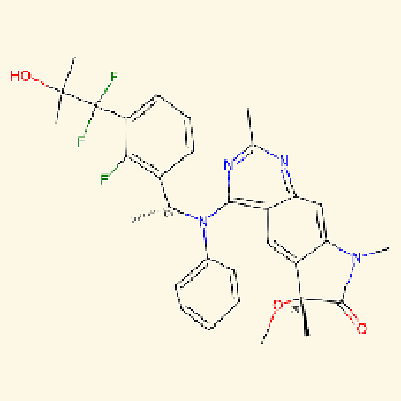 CO[C@@]1(C)C(=O)N(C)c2cc3nc(C)nc(N(c4ccccc4)[C@H](C)c4cccc(C(F)(F)C(C)(C)O)c4F)c3cc21